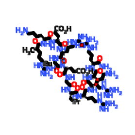 CC[C@H](C)C(NC(=O)[C@H](CCCNC(=N)N)NC(=O)[C@H](CCC(=O)O)NC(=O)[C@H](CCCCN)NC(=O)[C@@H](C)CCCNC(=N)N)C(=O)N[C@@H](CCC(=O)O)C(=O)NCC(=O)N[C@@H](CC(C)C)C(=O)N[C@@H](CCCNC(=N)N)C(=O)N[C@@H](CCCCN)C(=O)N[C@@H](CCCNC(=N)N)C(=O)N[C@@H](CCCNC(=N)N)C(N)=O